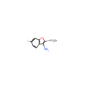 CCOC(=O)c1oc2cc(F)ccc2c1N